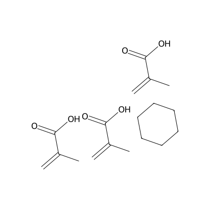 C1CCCCC1.C=C(C)C(=O)O.C=C(C)C(=O)O.C=C(C)C(=O)O